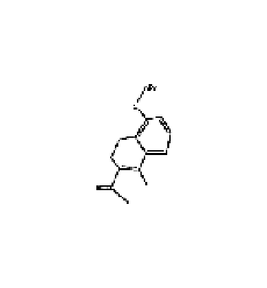 C=C(C)C1=C(C)c2cccc(SCCC)c2CC1